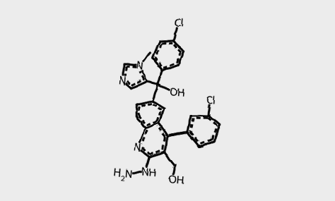 Cn1cncc1C(O)(c1ccc(Cl)cc1)c1ccc2nc(NN)c(CO)c(-c3cccc(Cl)c3)c2c1